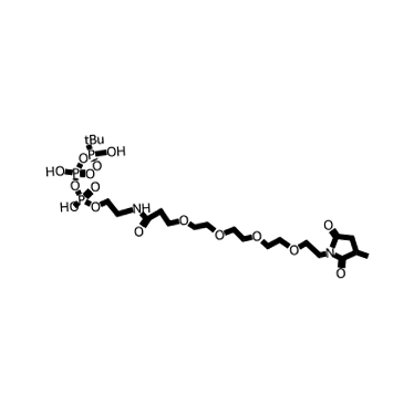 CC1CC(=O)N(CCOCCOCCOCCOCCC(=O)NCCOP(=O)(O)OP(=O)(O)OP(=O)(O)C(C)(C)C)C1=O